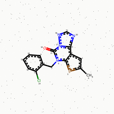 Cc1cc2c(s1)n(Cc1ccccc1Cl)c(=O)n1ncnc21